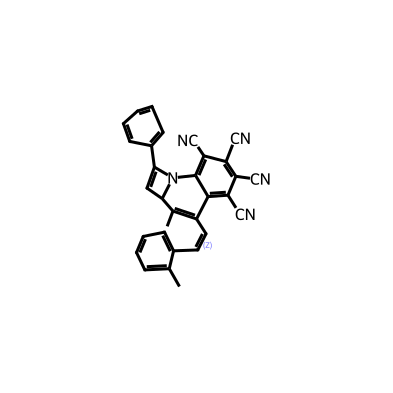 CC1=C(/C=C\c2ccccc2C)c2c(C#N)c(C#N)c(C#N)c(C#N)c2N2C(c3ccccc3)=CC12